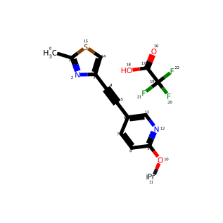 Cc1nc(C#Cc2ccc(OC(C)C)nc2)cs1.O=C(O)C(F)(F)F